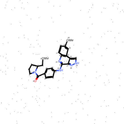 COCC1CCCN1C(=O)c1ccc(Nc2nc3ccc(OC)cc3c3c[nH]nc23)cc1